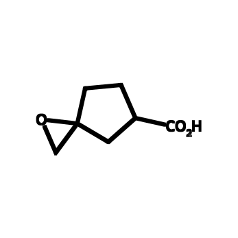 O=C(O)C1CCC2(CO2)C1